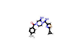 Cc1ccc(C(=O)N2CCN(C(=N)c3csc(C4CC4)n3)C(=N)C2)cc1